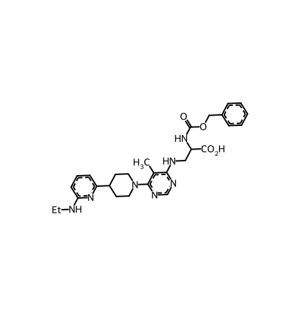 CCNc1cccc(C2CCN(c3ncnc(NCC(NC(=O)OCc4ccccc4)C(=O)O)c3C)CC2)n1